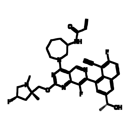 C#Cc1c(F)ccc2cc([C@@H](C)O)cc(-c3ncc4c(N5CCCCC(NC(=O)C=C)C5)nc(OC[C@]5(C)C[C@@H](F)CN5C)nc4c3F)c12